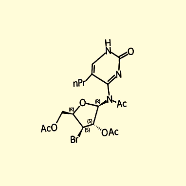 CCCc1c[nH]c(=O)nc1N(C(C)=O)[C@@H]1O[C@H](COC(C)=O)[C@H](Br)[C@H]1OC(C)=O